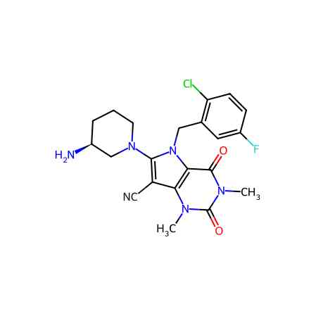 Cn1c(=O)c2c(c(C#N)c(N3CCC[C@H](N)C3)n2Cc2cc(F)ccc2Cl)n(C)c1=O